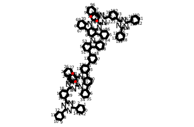 c1ccc(-c2nc(-c3ccccc3)nc(-c3cccc(-c4nc(-c5ccccc5)nc(-n5c6ccccc6c6ccc7c8cc(-c9cccc(-c%10cccc%11c%10c%10ccccc%10n%11-c%10cc%11c%12ccccc%12n(-c%12ccccc%12)c%11c%11c%10c%10ccccc%10n%11-c%10nc(-c%11ccccc%11)nc(-c%11cccc(-c%12nc(-c%13ccccc%13)nc(-c%13ccccc%13)n%12)c%11)n%10)c9)ccc8n(-c8ccccc8)c7c65)n4)c3)n2)cc1